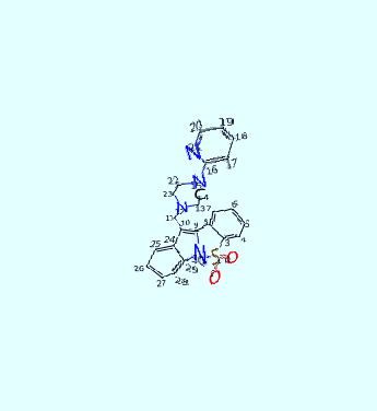 O=S1(=O)c2ccccc2-c2c(CN3CCN(c4ccccn4)CC3)c3ccccc3n21